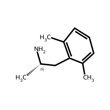 Cc1cccc(C)c1C[C@H](C)N